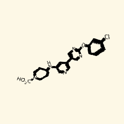 O=C(O)N1CCC(Nc2cncc(-c3cnc(Oc4cccc(Cl)c4)nc3)c2)CC1